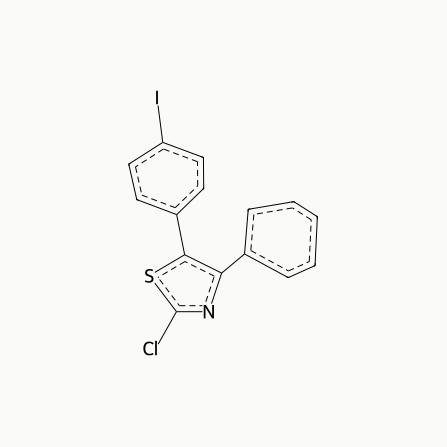 Clc1nc(-c2ccccc2)c(-c2ccc(I)cc2)s1